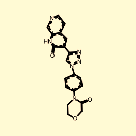 O=C1COCCN1c1ccc(-n2cc(-c3cc4ccncc4[nH]c3=O)nn2)cc1